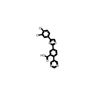 O=C(O)c1cc(-c2nc(-c3ccc(Cl)c(Cl)c3)cs2)ccc1-c1cncnc1